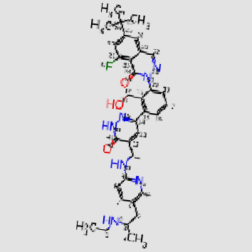 CCNC(C)Cc1ccc(NCc2cc(-c3cccc(-n4ncc5cc(C(C)(C)C)cc(F)c5c4=O)c3CO)n[nH]c2=O)nc1